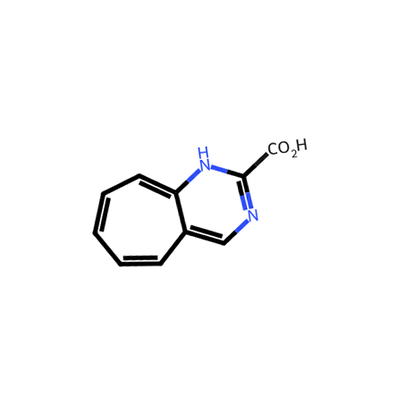 O=C(O)C1=NC=C2C=CC=CC=C2N1